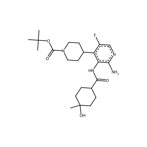 CC1(O)CCC(C(=O)Nc2c(N)ncc(F)c2C2CCN(C(=O)OC(C)(C)C)CC2)CC1